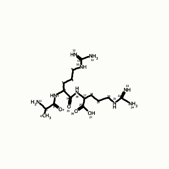 CC(N)C(=O)NC(CCCNC(=N)N)C(=O)NC(CCCNC(=N)N)C(=O)O